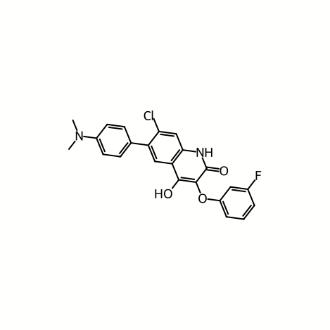 CN(C)c1ccc(-c2cc3c(O)c(Oc4cccc(F)c4)c(=O)[nH]c3cc2Cl)cc1